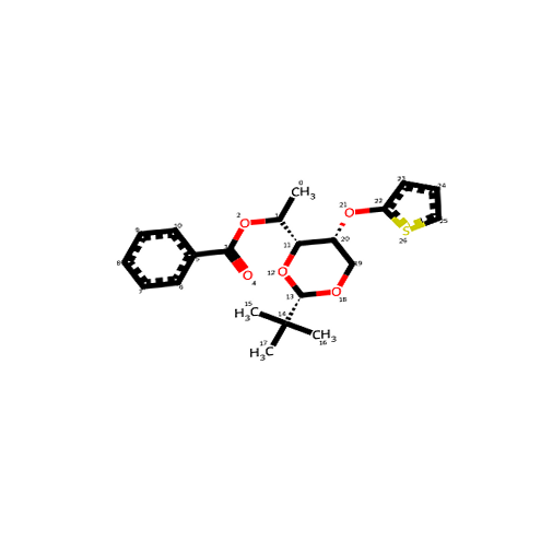 CC(OC(=O)c1ccccc1)[C@H]1O[C@@H](C(C)(C)C)OC[C@H]1Oc1cccs1